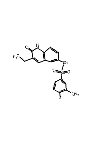 CCc1cc2cc(NS(=O)(=O)c3ccc(F)c(C)c3)ccc2[nH]c1=O